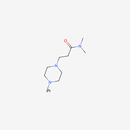 CC(C)N1CCN(CCC(=O)N(C)C)CC1